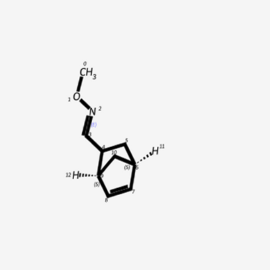 CO/N=C/C1C[C@H]2C=C[C@@H]1C2